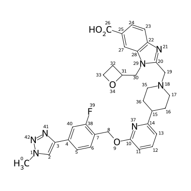 Cn1cc(-c2ccc(COc3cccc(C4CCN(Cc5nc6ccc(C(=O)O)cc6n5CC5CCO5)CC4)n3)c(F)c2)nn1